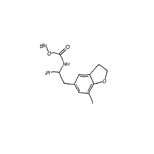 CC(C)C(Cc1cc(I)c2c(c1)CCO2)NC(=O)OC(C)(C)C